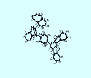 c1ccc2c(-c3nc4ccccc4n3-c3ccc(-c4cc5c6ccccc6oc5c5c4oc4ccccc45)cc3)cccc2c1